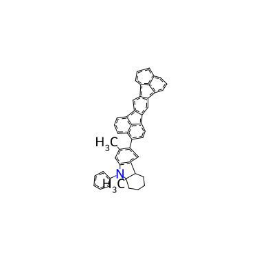 Cc1cc2c(cc1-c1ccc3c4cc5c(cc4c4cccc1c43)c1cccc3cccc5c31)C1CCCCC1(C)N2c1ccccc1